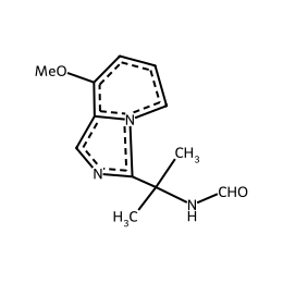 COc1cccn2c(C(C)(C)NC=O)ncc12